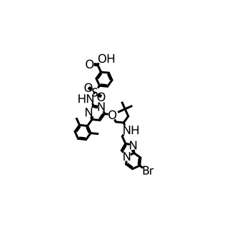 Cc1cccc(C)c1-c1cc(OCC(CC(C)(C)C)NCc2cn3ccc(Br)cc3n2)nc(NS(=O)(=O)c2cccc(C(=O)O)c2)n1